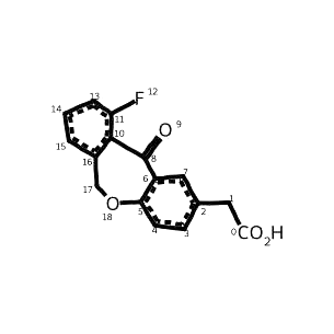 O=C(O)Cc1ccc2c(c1)C(=O)c1c(F)cccc1CO2